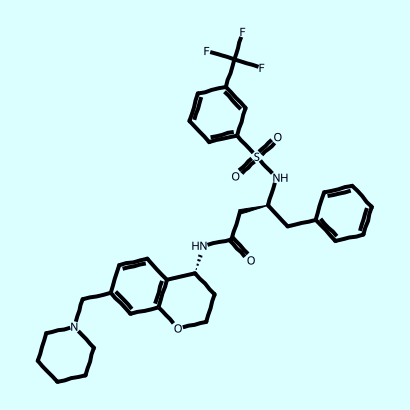 O=C(C[C@H](Cc1ccccc1)NS(=O)(=O)c1cccc(C(F)(F)F)c1)N[C@@H]1CCOc2cc(CN3CCCCC3)ccc21